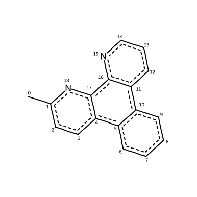 Cc1ccc2c3ccccc3c3cccnc3c2n1